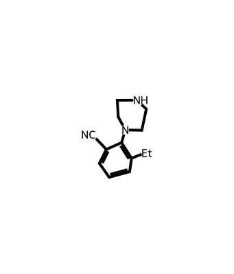 CCc1cccc(C#N)c1N1CCNCC1